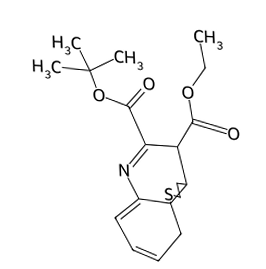 CCOC(=O)C1C(C(=O)OC(C)(C)C)=NC2=CC=CCC23SCCC13